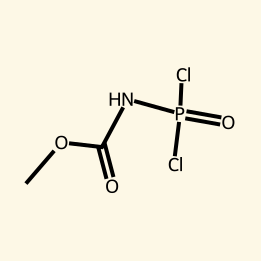 COC(=O)NP(=O)(Cl)Cl